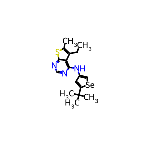 CCc1c(C)sc2ncnc(Nc3c[se]c(C(C)(C)C)c3)c12